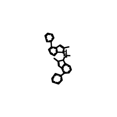 CC1=Cc2c(-c3ccccc3)cccc2C1[SiH](C)C1C(C)=Cc2c(-c3ccccc3)cccc21